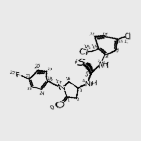 O=C1CC(NC(=S)Nc2cc(Cl)ccc2Cl)CN1c1ccc(F)cc1